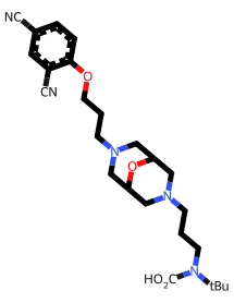 CC(C)(C)N(CCCN1CC2CN(CCCOc3ccc(C#N)cc3C#N)CC(C1)O2)C(=O)O